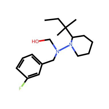 CCC(C)(C)C1CCCCN1N(CO)Cc1cccc(F)c1